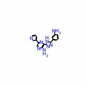 Nc1cccc(-c2nnc(-c3nc(-c4cccnc4)cnc3N)[nH]2)c1